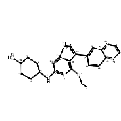 CCOc1nc(NC2CCC(O)CC2)nc2[nH]cc(-c3ccc4nccnc4c3)c12